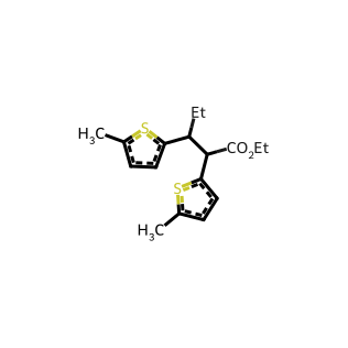 CCOC(=O)C(c1ccc(C)s1)C(CC)c1ccc(C)s1